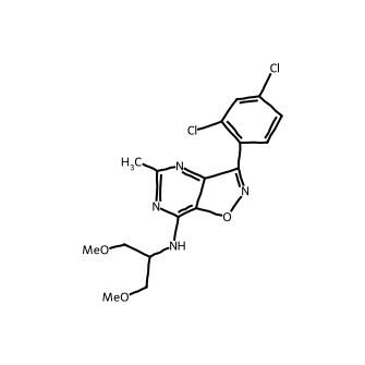 COCC(COC)Nc1nc(C)nc2c(-c3ccc(Cl)cc3Cl)noc12